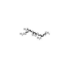 COCCC(C)CCOC(=O)CC(=O)OCCN(C)CCOC